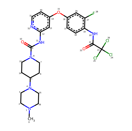 CN1CCN(C2CCN(C(=O)Nc3cc(Oc4ccc(NC(=O)C(Cl)(Cl)Cl)c(F)c4)ccn3)CC2)CC1